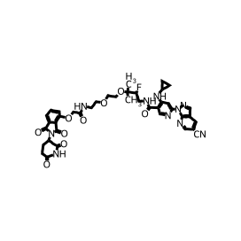 CC(C)(OCCOCCNC(=O)COc1cccc2c1C(=O)N(C1CCC(=O)NC1=O)C2=O)C(F)CNC(=O)c1cnc(-n2ncc3cc(C#N)cnc32)cc1NC1CC1